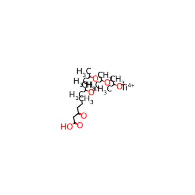 CC(C)[O-].CC(C)[O-].CC(C)[O-].CC(C)[O-].CCCC(=O)CC(=O)O.[Ti+4]